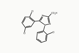 O=C(O)c1nc(-c2cc(Cl)ccc2Cl)n(-c2ccccc2Cl)n1